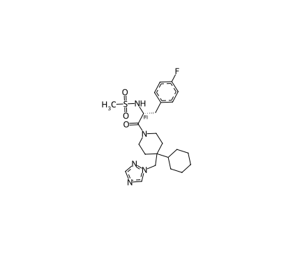 CS(=O)(=O)N[C@H](Cc1ccc(F)cc1)C(=O)N1CCC(Cn2cncn2)(C2CCCCC2)CC1